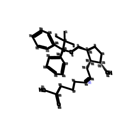 CC(C)(C)[Si](OC[C@H]1CC[C@H](O)[C@@H]1C/C=C\CCCC(=O)O)(c1ccccc1)c1ccccc1